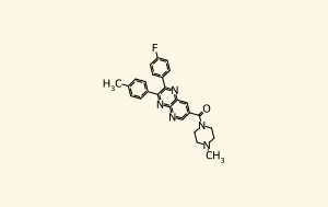 Cc1ccc(-c2nc3ncc(C(=O)N4CCN(C)CC4)cc3nc2-c2ccc(F)cc2)cc1